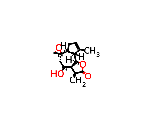 C=C1C(=O)O[C@H]2C1[C@H](O)C[C@@]1(CO1)[C@@H]1CC=C(C)[C@@H]12